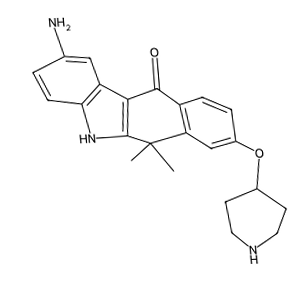 CC1(C)c2cc(OC3CCNCC3)ccc2C(=O)c2c1[nH]c1ccc(N)cc21